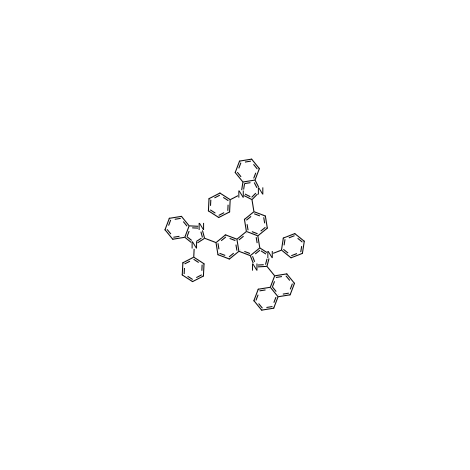 c1ccc(-n2c(-c3ccc4c(c3)c3cc(-c5nc6ccccc6n5-c5ccccc5)ccc3c3c4nc(-c4cccc5ccccc45)n3-c3ccccc3)nc3ccccc32)cc1